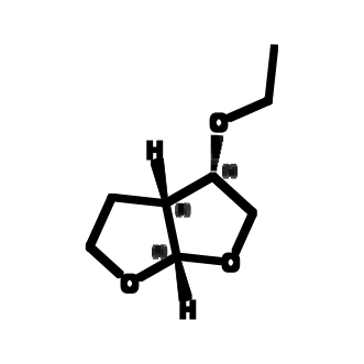 CCO[C@@H]1CO[C@@H]2OCC[C@@H]21